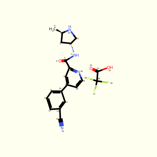 C[C@@H]1C[C@@H](NC(=O)c2cc(-c3cccc(C#N)c3)ccn2)CN1.O=C(O)C(F)(F)F